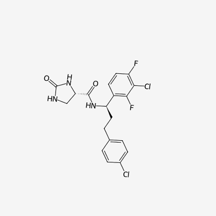 O=C1NC[C@@H](C(=O)N[C@H](CCc2ccc(Cl)cc2)c2ccc(F)c(Cl)c2F)N1